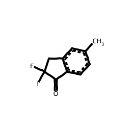 Cc1ccc2c(c1)CC(F)(I)C2=O